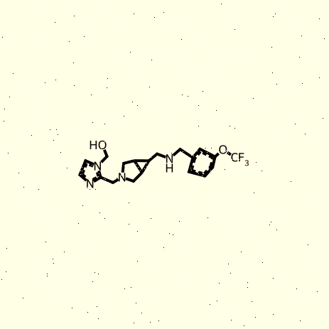 OCn1ccnc1CN1CC2C(CNCc3cccc(OC(F)(F)F)c3)C2C1